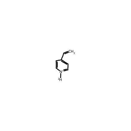 [2H][n+]1ccc(C=C)cc1